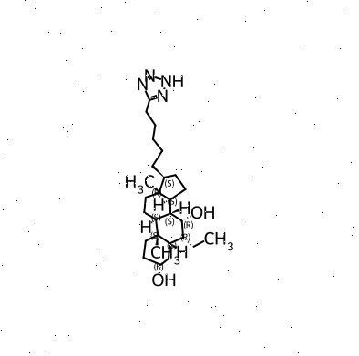 CC[C@H]1[C@@H](O)[C@@H]2[C@H](CC[C@]3(C)[C@@H](CCCCCc4nn[nH]n4)CC[C@@H]23)[C@@]2(C)CC[C@@H](O)C[C@@H]12